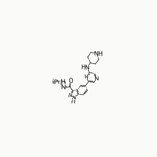 CC(C)NC(=O)c1n[nH]c2ccc(-c3cncc(NC4CCNCC4)n3)cc12